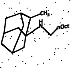 CCCCCCCCCNC12CC3CC(CC(C3)C1C)C2